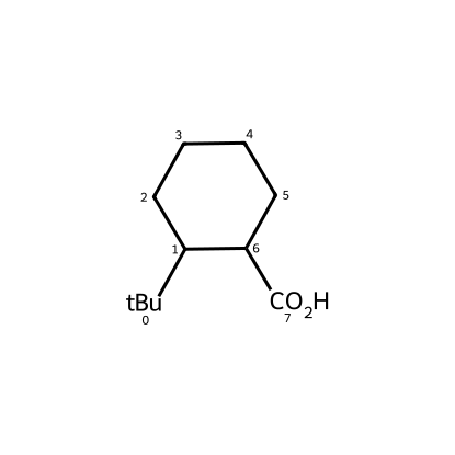 CC(C)(C)C1CCCCC1C(=O)O